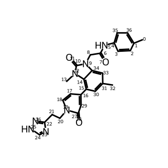 Cc1ccc(NC(=O)Cn2c(=O)n(C)c3c(-c4ccn(CCc5nc[nH]n5)c(=O)c4)cc(C)cc32)cc1